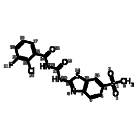 CS(=O)(=O)c1ccc2nc(NC(=O)NC(=O)c3cccc(F)c3Cl)sc2c1